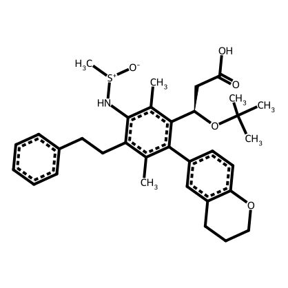 Cc1c(CCc2ccccc2)c(N[S+](C)[O-])c(C)c([C@@H](CC(=O)O)OC(C)(C)C)c1-c1ccc2c(c1)CCCO2